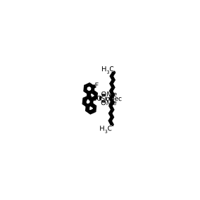 CCCCCCCCCCCCCCCCC.CCCCCCCCCC[Si](OC)(OC)OC.FC1CCCc2c1ccc1c2ccc2ccccc21